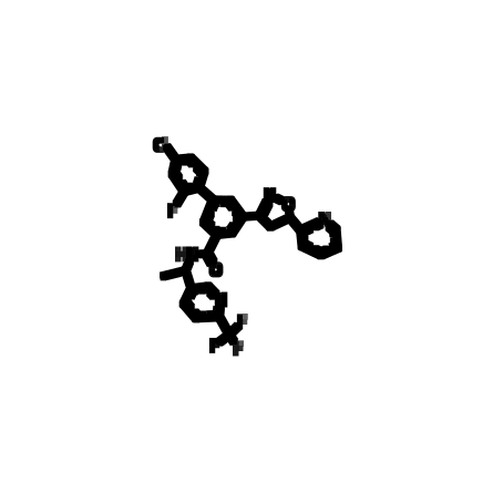 CC(NC(=O)c1cc(C2=NOC(c3ccccn3)C2)cc(-c2ccc(Cl)cc2F)c1)c1ccc(C(F)(F)F)nc1